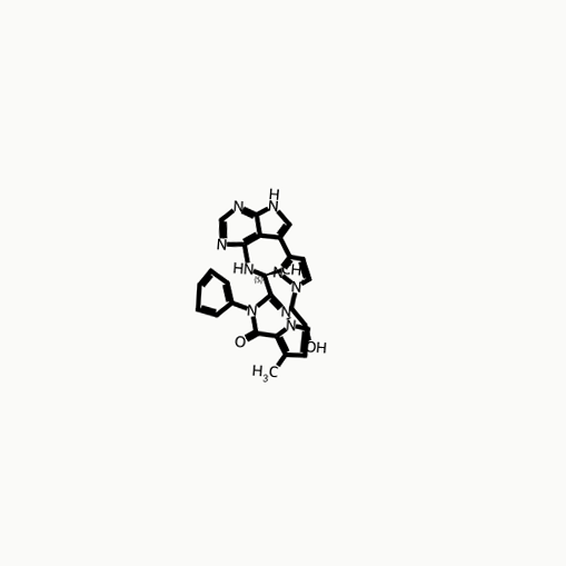 Cc1ccn2nc([C@H](C)Nc3ncnc4[nH]cc(-c5ccn(CCO)n5)c34)n(-c3ccccc3)c(=O)c12